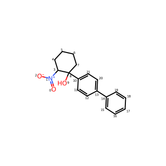 O=[N+]([O-])C1CCCCC1(O)c1ccc(-c2ccccc2)cc1